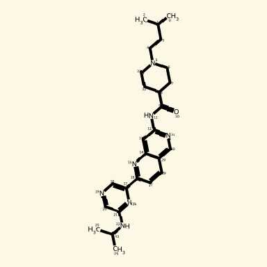 CC(C)CCN1CCC(C(=O)Nc2cc3nc(-c4cncc(NC(C)C)n4)ccc3cn2)CC1